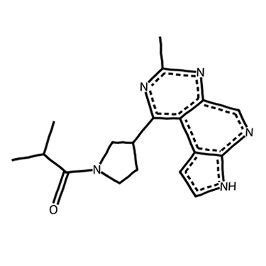 Cc1nc(C2CCN(C(=O)C(C)C)C2)c2c(cnc3[nH]ccc32)n1